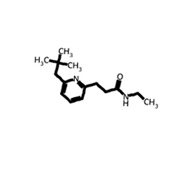 CCNC(=O)CCc1cccc(CC(C)(C)C)n1